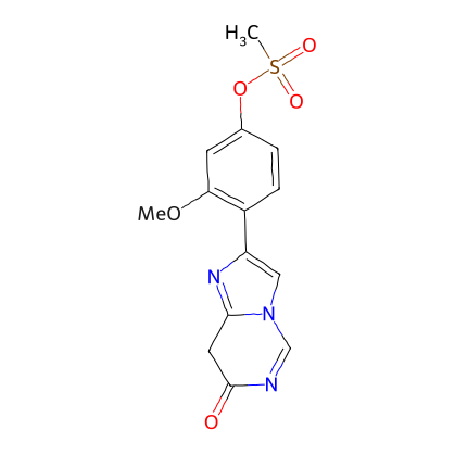 COc1cc(OS(C)(=O)=O)ccc1-c1cn2c(n1)CC(=O)N=C2